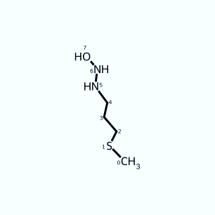 CSCCCNNO